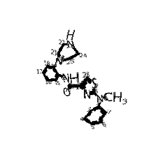 CN(c1ccccc1)c1nc(C(=O)Nc2ccccc2N2CCNCC2)cs1